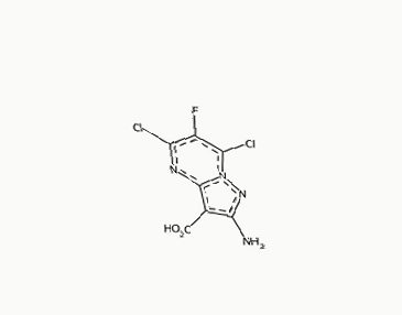 Nc1nn2c(Cl)c(F)c(Cl)nc2c1C(=O)O